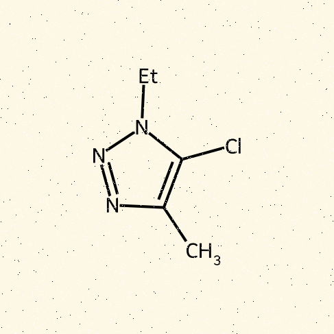 CCn1nnc(C)c1Cl